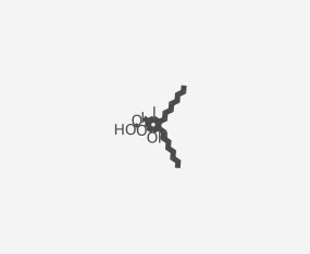 CCCCCCCCc1c(O)c(OC(=O)O)c(I)c(I)c1CCCCCCCC